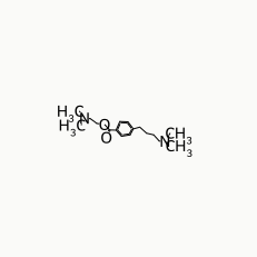 CN(C)CCCCc1ccc(C(=O)OCCN(C)C)cc1